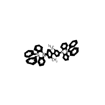 Cc1cc(N2c3ccccc3[Si](c3ccccc3)(c3ccccc3)c3ccccc32)ccc1-c1ccc(N2c3ccccc3[Si](c3ccccc3)(c3ccccc3)c3ccccc32)cc1C